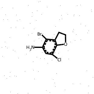 Nc1cc(Cl)c2c(c1Br)CCO2